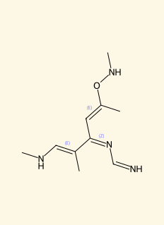 CN/C=C(C)/C(/C=C(\C)ONC)=N\C=N